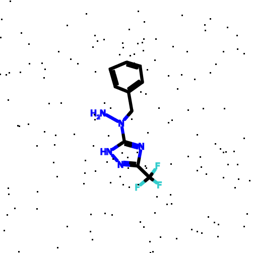 NN(Cc1ccccc1)c1nc(C(F)(F)F)n[nH]1